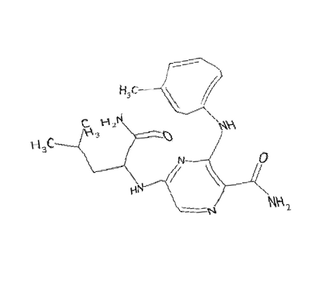 Cc1cccc(Nc2nc(NC(CC(C)C)C(N)=O)cnc2C(N)=O)c1